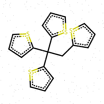 c1csc(CC(c2cccs2)(c2cccs2)c2cccs2)c1